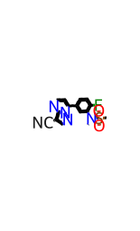 CN(c1cc(-c2ccnc3c(C#N)cnn23)ccc1F)S(C)(=O)=O